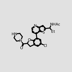 CCC(NC(C)=O)c1cc2nccc(-c3cc(Cl)cc4c3OC(C(=O)N3CCNCC3)C4)c2s1